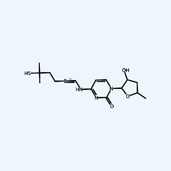 CC1CC(O)C(n2ccc(N/C=B\CCC(C)(C)S)nc2=O)O1